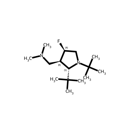 CN(C)C[C@@H]1[C@@H](C(C)(C)C)N(C(C)(C)C)C[C@@H]1F